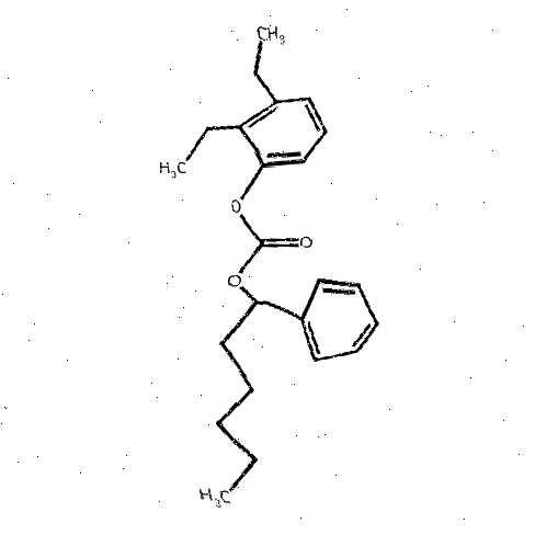 CCCCCC(OC(=O)Oc1cccc(CC)c1CC)c1ccccc1